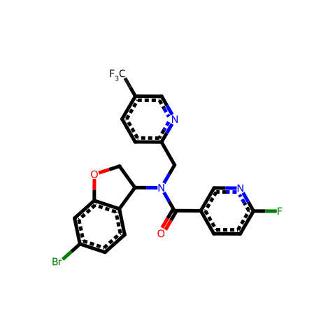 O=C(c1ccc(F)nc1)N(Cc1ccc(C(F)(F)F)cn1)C1COc2cc(Br)ccc21